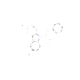 CC(O)C(Nc1ccccc1)n1c2c(c3cc(C(F)(F)F)ccc31)CC(C(F)(F)F)C=C2